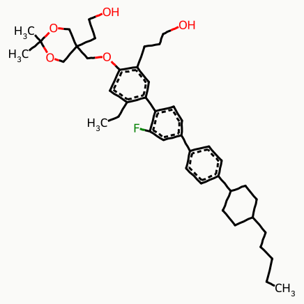 CCCCCC1CCC(c2ccc(-c3ccc(-c4cc(CCCO)c(OCC5(CCO)COC(C)(C)OC5)cc4CC)c(F)c3)cc2)CC1